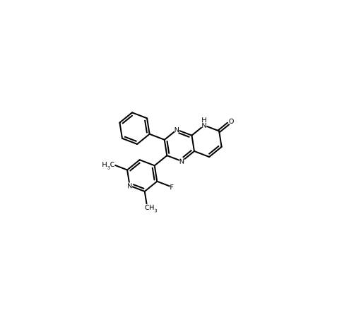 Cc1cc(-c2nc3ccc(=O)[nH]c3nc2-c2ccccc2)c(F)c(C)n1